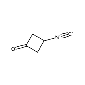 [C-]#[N+]C1CC(=O)C1